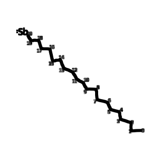 CCCCCCCCCCCCCCCCCCC[CH2][Sb]